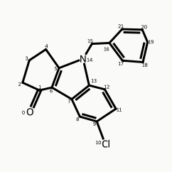 O=C1CCCc2c1c1cc(Cl)ccc1n2Cc1ccccc1